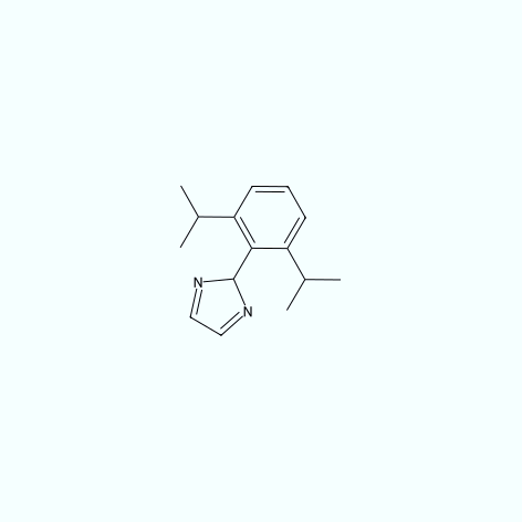 CC(C)c1cccc(C(C)C)c1C1N=CC=N1